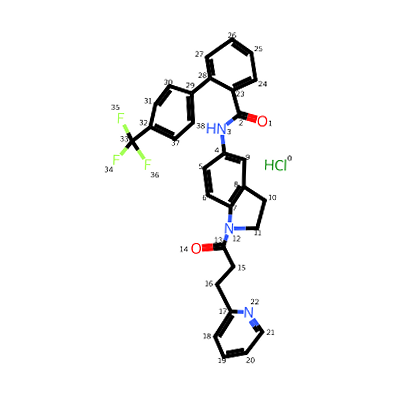 Cl.O=C(Nc1ccc2c(c1)CCN2C(=O)CCc1ccccn1)c1ccccc1-c1ccc(C(F)(F)F)cc1